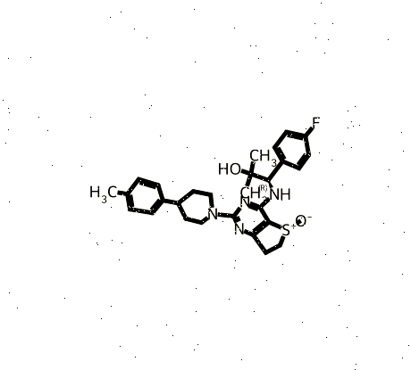 Cc1ccc(C2CCN(c3nc4c(c(N[C@H](c5ccc(F)cc5)C(C)(C)O)n3)[S+]([O-])CC4)CC2)cc1